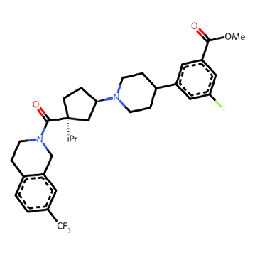 COC(=O)c1cc(F)cc(C2CCN([C@@H]3CC[C@@](C(=O)N4CCc5ccc(C(F)(F)F)cc5C4)(C(C)C)C3)CC2)c1